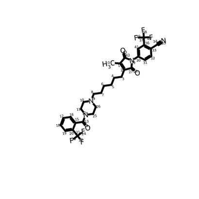 CC1=C(CCCCCCN2CCN(C(=O)c3ccccc3C(F)(F)F)CC2)C(=O)N(c2ccc(C#N)c(C(F)(F)F)c2)C1=O